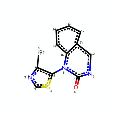 CC(C)c1ncsc1-n1c(=O)ncc2ccccc21